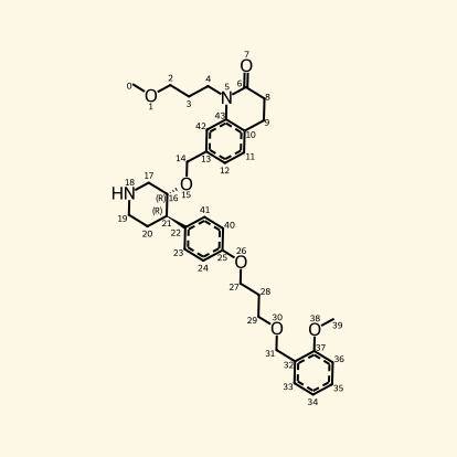 COCCCN1C(=O)CCc2ccc(CO[C@H]3CNCC[C@@H]3c3ccc(OCCCOCc4ccccc4OC)cc3)cc21